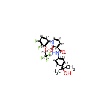 CC(C)(O)c1ccc(NC(=O)c2cccn(-c3ccc(F)c(F)c3OCC(F)(F)F)c2=O)cc1